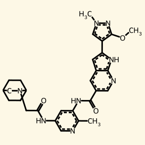 COc1nn(C)cc1-c1cc2cc(C(=O)Nc3cc(NC(=O)CN4CC5CCC4CC5)cnc3C)cnc2[nH]1